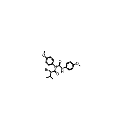 COc1ccc(NC(=O)N(C(=O)C(Br)C(C)C)c2ccc(OC)cc2)cc1